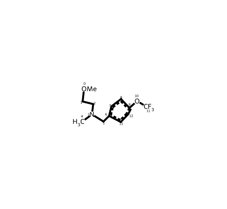 COCCN(C)Cc1ccc(OC(F)(F)F)cc1